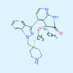 CO[C@]1(C)C(=O)Nc2nccc(-c3nn(CC4(F)CCNCC4)c4ccccc34)c21